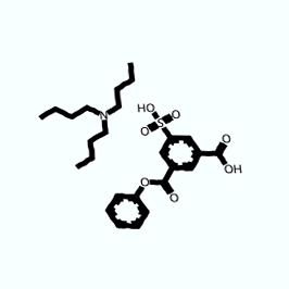 CCCCN(CCCC)CCCC.O=C(O)c1cc(C(=O)Oc2ccccc2)cc(S(=O)(=O)O)c1